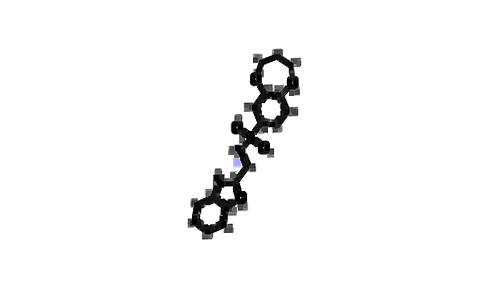 O=S(=O)(/N=C/c1nc2ccccc2o1)c1ccc2c(c1)OCCCO2